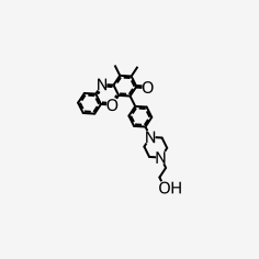 Cc1c2nc3ccccc3oc-2c(-c2ccc(N3CCN(CCO)CC3)cc2)c(=O)c1C